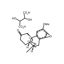 COc1cc2c(c3c1O3)C[C@@H]1[C@@H]3CCC(=O)C[C@]23CCN1C.O=C(O)C(O)C(O)C(=O)O